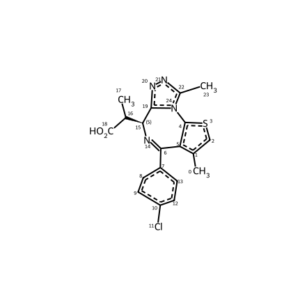 Cc1csc2c1C(c1ccc(Cl)cc1)=N[C@@H](C(C)C(=O)O)c1nnc(C)n1-2